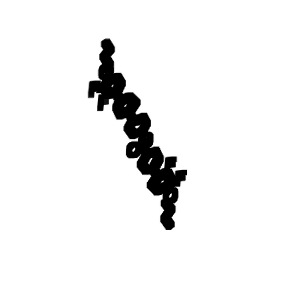 CCCCOc1ccc(C2=CCC(C(=O)OC3CC=C(c4ccc(-c5ccc(OCCCC)c(F)c5F)cc4)CC3)CC2)c(F)c1F